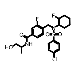 C[C@@H](CO)NC(=O)c1ccc(CN(C2CCCCC2F)S(=O)(=O)c2ccc(Cl)cc2)c(F)c1